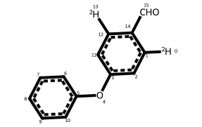 [2H]c1cc(Oc2ccccc2)cc([2H])c1C=O